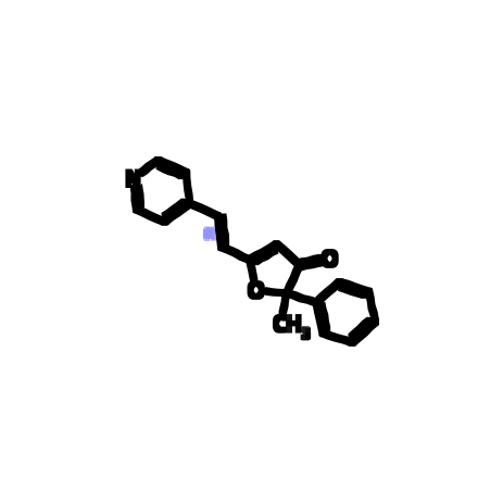 CC1(c2ccccc2)OC(/C=C/c2ccncc2)=CC1=O